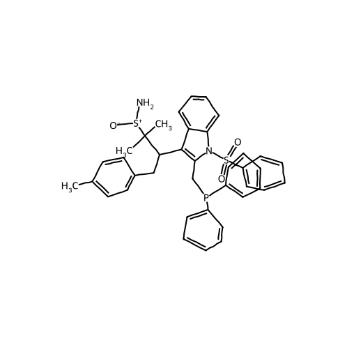 Cc1ccc(CC(c2c(CP(c3ccccc3)c3ccccc3)n(S(=O)(=O)c3ccccc3)c3ccccc23)C(C)(C)[S+](N)[O-])cc1